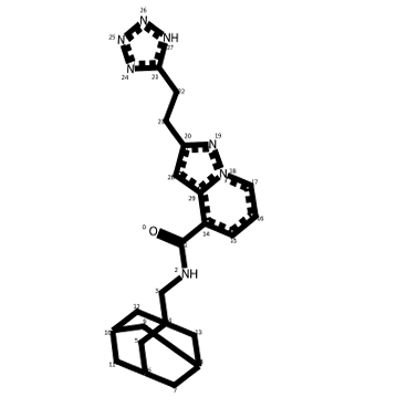 O=C(NCC12CC3CC(CC(C3)C1)C2)c1cccn2nc(CCc3nnn[nH]3)cc12